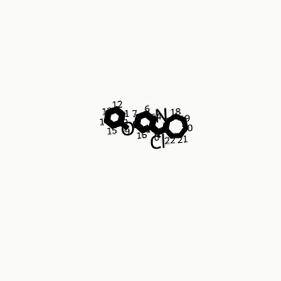 Clc1c2c(nc3ccc(Oc4ccccc4)cc13)CCCCC2